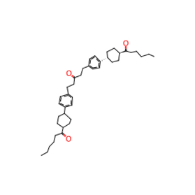 CCCCCC(=O)C1CCC(c2ccc(CCC(=O)CCc3ccc([C@H]4CC[C@H](C(=O)CCCCC)CC4)cc3)cc2)CC1